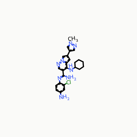 Cn1cc(-c2cc3c(NC4CCCCC4)c(/C(N)=N/c4ccc(N)cc4Cl)cnn3c2)cn1